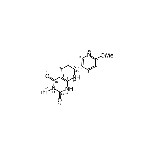 COc1ccc([C@H]2CCc3c([nH]c(=O)n(C(C)C)c3=O)N2)cn1